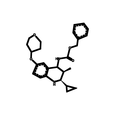 C[C@@H]1C(NC(=O)OCc2ccccc2)c2cc(OC3CCOCC3)ccc2N[C@H]1C1CC1